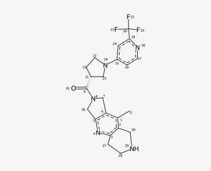 Cc1c2c(nc3c1CN(C(=O)[C@@H]1CCN(c4ccnc(C(F)(F)F)c4)C1)C3)CCNC2